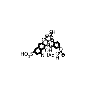 CC(=O)Nc1cc(S(=O)(=O)O)cc2cc(OS(=O)O)c(N=Nc3cc(OS(=O)O)ccc3OOOS)c(O)c12